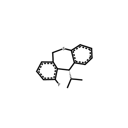 CC(C)[C@H]1c2ccccc2SCc2cccc(F)c21